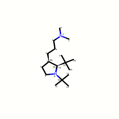 CN(C)CCC[C@@H]1CCN(C(C)(C)C)[C@@H]1C(C)(C)C